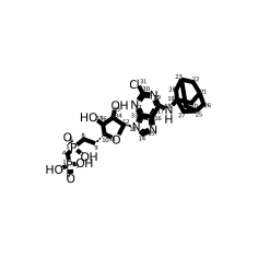 O=P(O)(O)CP(=O)(O)CC[C@H]1O[C@@H](n2cnc3c(NC45CC6CC(CC(C6)C4)C5)nc(Cl)nc32)C(O)C1O